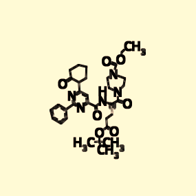 CCOC(=O)N1CCN(C(=O)[C@H](CCC(=O)OC(C)(C)C)NC(=O)c2cc(C3CCCCC3=O)nc(-c3ccccc3)n2)CC1